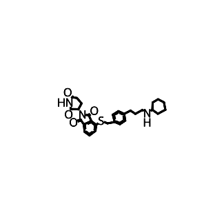 O=C1CCC(N2C(=O)c3cccc(SCc4ccc(CCCNC5CCCCC5)cc4)c3C2=O)C(=O)N1